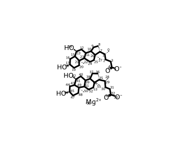 C[C@H](CCC(=O)[O-])[C@H]1CCC2C3C[C@H](O)C4C[C@H](O)CC[C@]4(C)C3CC[C@@]21C.C[C@H](CCC(=O)[O-])[C@H]1CCC2C3C[C@H](O)C4C[C@H](O)CC[C@]4(C)C3CC[C@@]21C.[Mg+2]